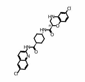 O=C(N[C@H]1CC[C@H](C(=O)Nc2ccc3cc(Cl)ccc3n2)CC1)[C@H]1CNc2cc(Cl)ccc2O1